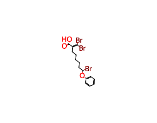 O=C(O)C(CCCCCC(Br)Oc1ccccc1)=C(Br)Br